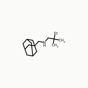 CCC(C)(C)CNCC12CC3CC(CC(C3)C1)C2